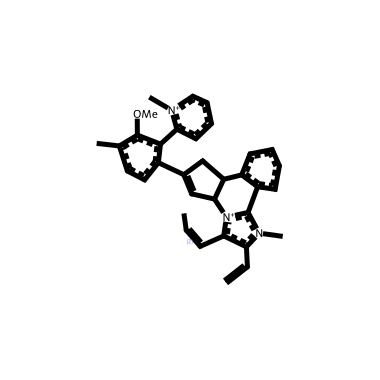 C=Cc1c(/C=C\C)[n+]2c(n1C)-c1ccccc1C1CC(c3ccc(C)c(OC)c3-c3cccc[n+]3C)=CC12